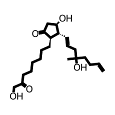 C=CCCC(C)(O)CC=C[C@H]1[C@H](O)CC(=O)[C@@H]1CCCCCCC(=O)CO